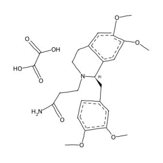 COc1ccc(C[C@@H]2c3cc(OC)c(OC)cc3CCN2CCC(N)=O)cc1OC.O=C(O)C(=O)O